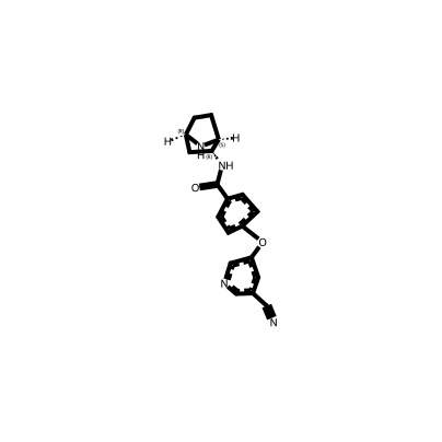 N#Cc1cncc(Oc2ccc(C(=O)N[C@@H]3C[C@H]4CC[C@@H]3N4)cc2)c1